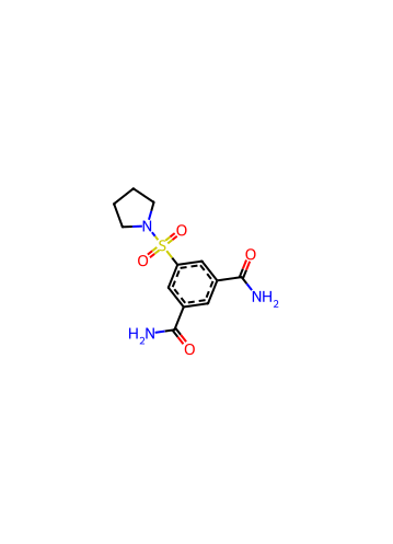 NC(=O)c1cc(C(N)=O)cc(S(=O)(=O)N2CCCC2)c1